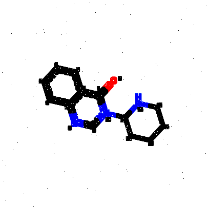 O=c1c2ccccc2ncn1C1CCCCN1